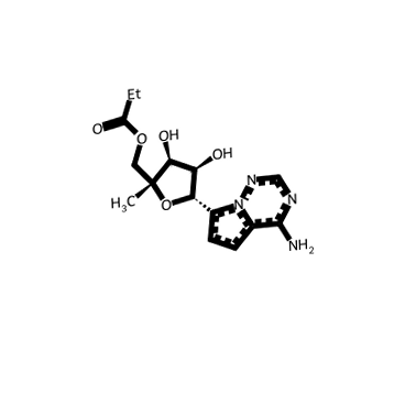 CCC(=O)OC[C@@]1(C)O[C@@H](c2ccc3c(N)ncnn23)[C@H](O)[C@@H]1O